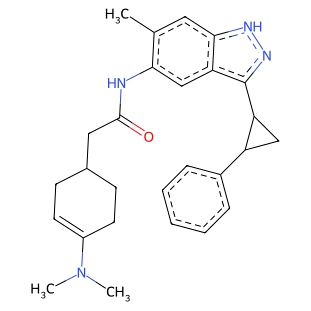 Cc1cc2[nH]nc(C3CC3c3ccccc3)c2cc1NC(=O)CC1CC=C(N(C)C)CC1